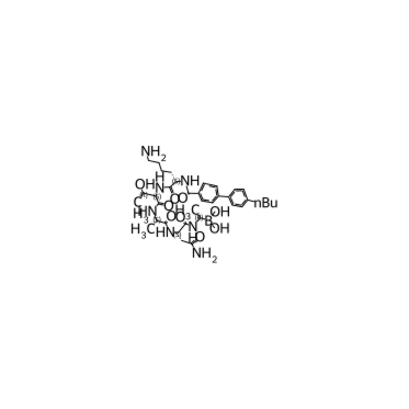 CCCCc1ccc(-c2ccc(C(=O)N[C@@H](CCCCN)C(=O)N[C@H](C(=O)N[C@@H](C)C(=O)N[C@@H](CC(N)=O)C(=O)N[C@@H](C)B(O)O)[C@@H](C)O)cc2)cc1